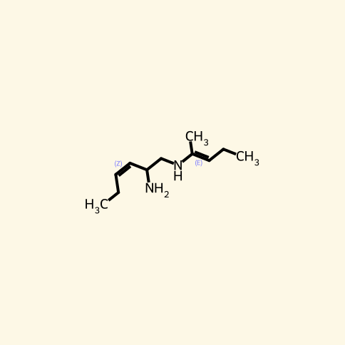 CC/C=C\C(N)CN/C(C)=C/CC